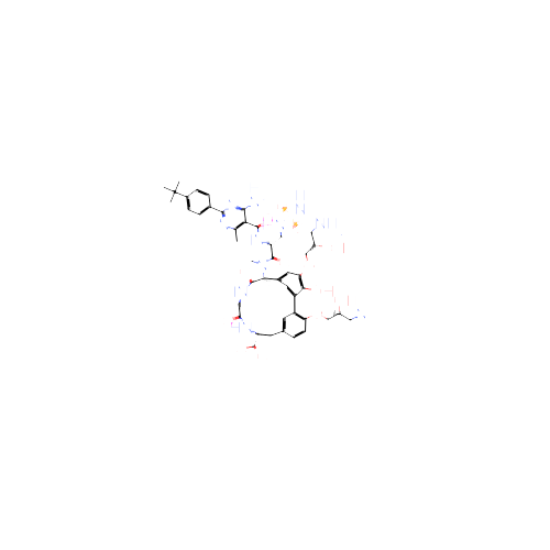 Cc1nc(-c2ccc(C(C)(C)C)cc2)nc(N)c1C(=O)N[C@@H](CNS(N)(=O)=O)C(=O)N(C)[C@@H]1C(=O)N[C@@H](C)C(=O)N[C@H](C(=O)O)Cc2ccc(OC[C@H](O)CN)c(c2)-c2cc1cc(OC[C@H](O)CN)c2O